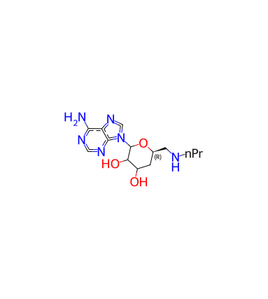 CCCNC[C@H]1CC(O)C(O)C(n2cnc3c(N)ncnc32)O1